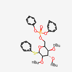 CCCCOC1[C@@H](Sc2ccccc2)OC(COP(=O)(Oc2ccccc2)Oc2ccccc2)[C@@H](OCCCC)[C@@H]1OCCCC